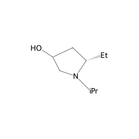 CC[C@H]1CC(O)CN1C(C)C